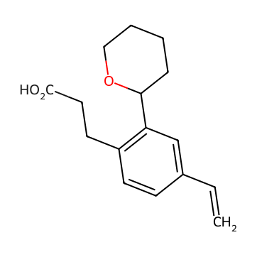 C=Cc1ccc(CCC(=O)O)c(C2CCCCO2)c1